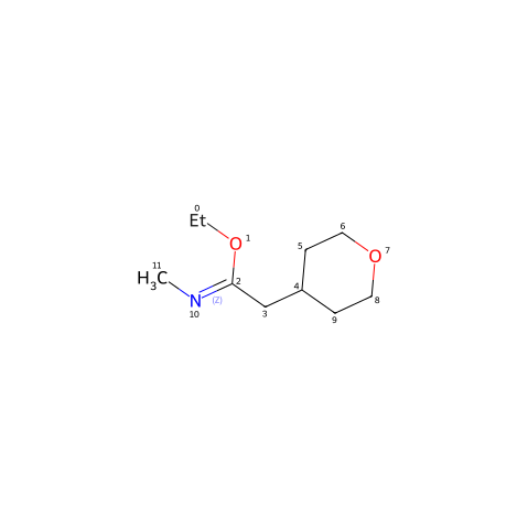 CCO/C(CC1CCOCC1)=N\C